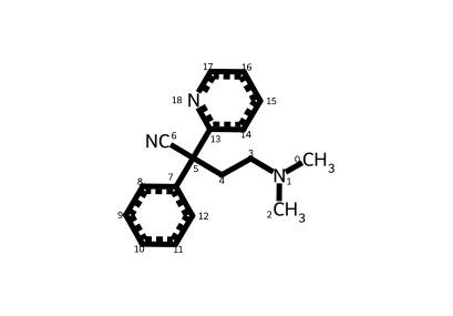 CN(C)CCC(C#N)(c1ccccc1)c1ccccn1